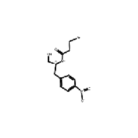 O=C(CCBr)N[C@H](CO)Cc1ccc([N+](=O)[O-])cc1